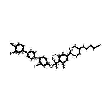 CCCCCC1COC(c2cc(F)c(C(F)(F)Oc3ccc(-c4ccc(-c5ccc(F)c(F)c5)cc4)c(F)c3)c(F)c2)OC1